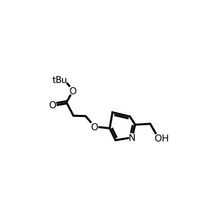 CC(C)(C)OC(=O)CCOc1ccc(CO)nc1